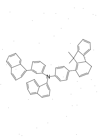 CC1(C)C2=C(c3ccc(N(c4cccc(-c5cccc6ccccc56)c4)c4cccc5ccccc45)cc3)C=CCC2c2ccccc21